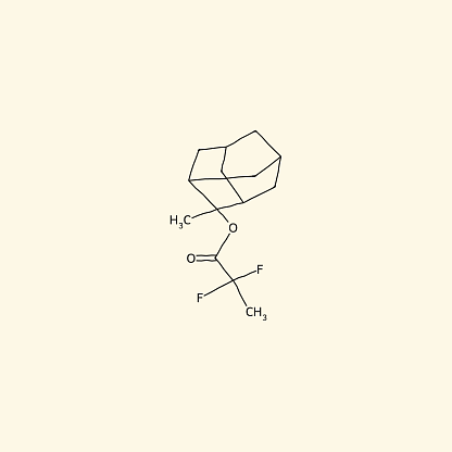 CC(F)(F)C(=O)OC1(C)C2CC3CC(C2)CC1C3